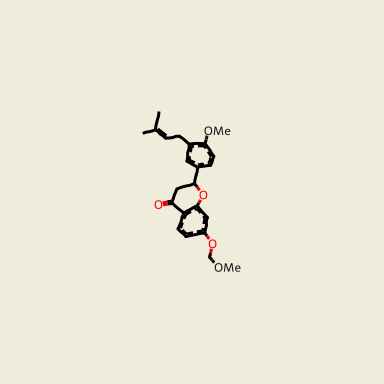 COCOc1ccc2c(c1)OC(c1ccc(OC)c(CC=C(C)C)c1)CC2=O